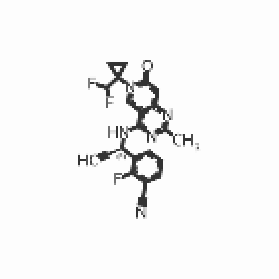 C#C[C@@H](Nc1nc(C)nc2cc(=O)n(C3(C(F)F)CC3)cc12)c1cccc(C#N)c1F